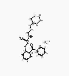 Cl.O=C(CCc1ccccc1C(=O)c1ccccc1)NCCCN1CCCCC1